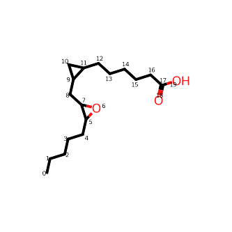 CCCCCC1OC1CC1CC1CCCCCC(=O)O